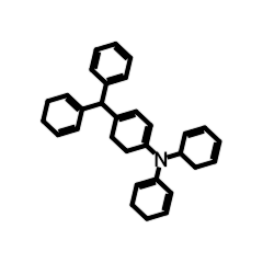 C1=CCC(N(C2=CCCC=C2)C2=CC=C(C(C3=CCCC=C3)c3ccccc3)CC2)C=C1